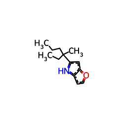 CCCC(C)(CC)c1cc2occc2[nH]1